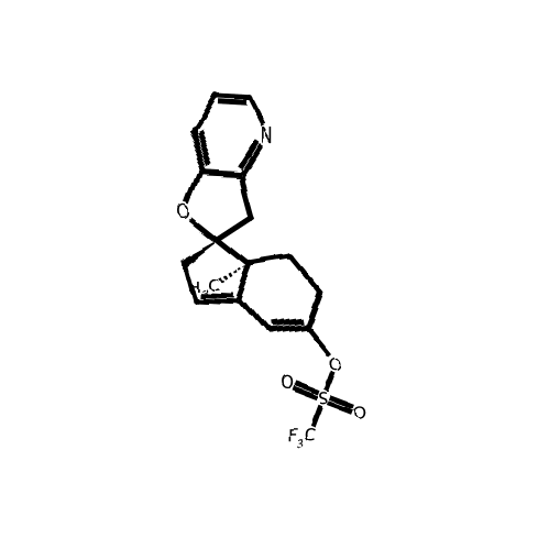 C[C@]12CCC(OS(=O)(=O)C(F)(F)F)=CC1=CC[C@@]21Cc2ncccc2O1